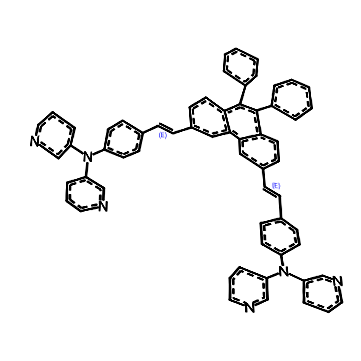 C(=C\c1ccc2c(-c3ccccc3)c(-c3ccccc3)c3ccc(/C=C/c4ccc(N(c5cccnc5)c5cccnc5)cc4)cc3c2c1)/c1ccc(N(c2cccnc2)c2cccnc2)cc1